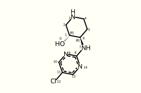 O[C@@H]1CNCC[C@H]1Nc1ncc(Cl)cn1